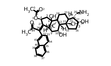 CC(=O)O[C@H]1C[C@@]2(C)[C@@H](C[C@@H](O)[C@H]3[C@@]4(C)CC[C@@H](O)[C@@H](CN)[C@@H]4CC[C@@]32C)/C1=C(/C(C)=O)c1ccc2ccccc2c1